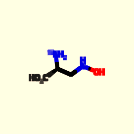 [15NH2][C@@H](CNO)C(=O)O